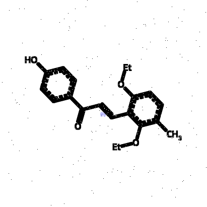 CCOc1ccc(C)c(OCC)c1/C=C/C(=O)c1ccc(O)cc1